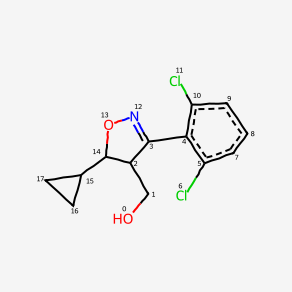 OCC1C(c2c(Cl)cccc2Cl)=NOC1C1CC1